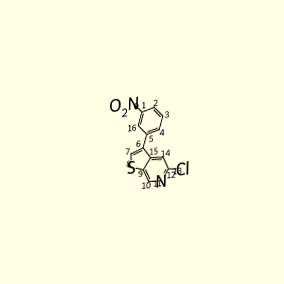 O=[N+]([O-])c1cccc(-c2csc3cnc(Cl)cc23)c1